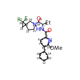 CC[C@@H](NC(=O)c1ccc(-c2ccccc2)c(OC)n1)C(=O)N1CCC2(C1)CC2(F)F